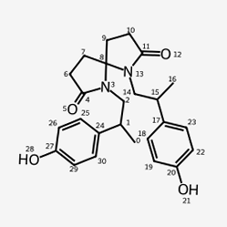 CC(CN1C(=O)CCC12CCC(=O)N2CC(C)c1ccc(O)cc1)c1ccc(O)cc1